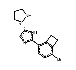 Brc1ccc(-c2ncc([C@@H]3CCCN3)[nH]2)c2c1CC2